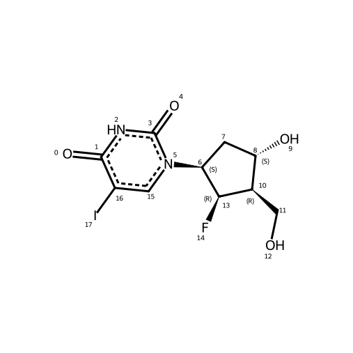 O=c1[nH]c(=O)n([C@H]2C[C@H](O)[C@@H](CO)[C@H]2F)cc1I